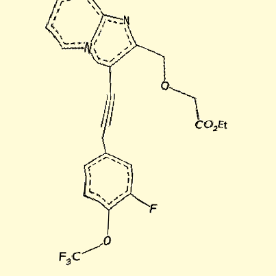 CCOC(=O)COCc1nc2ccccn2c1C#Cc1ccc(OC(F)(F)F)c(F)c1